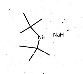 CC(C)(C)NC(C)(C)C.[NaH]